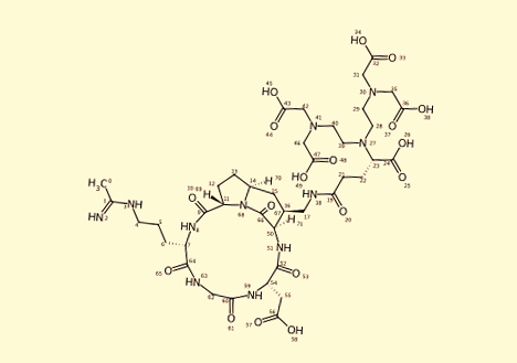 CC(=N)NCCC[C@@H]1NC(=O)[C@@H]2CC[C@H]3C[C@@H](CNC(=O)CC[C@@H](C(=O)O)N(CCN(CC(=O)O)CC(=O)O)CCN(CC(=O)O)CC(=O)O)[C@@H](NC(=O)[C@H](CC(=O)O)NC(=O)CNC1=O)C(=O)N32